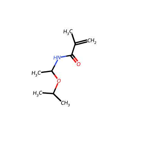 C=C(C)C(=O)NC(C)OC(C)C